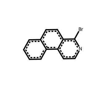 Brc1nccc2c1ccc1ccccc12